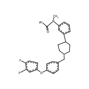 CC(C)C(=O)N(C)c1cccc(C2CCN(Cc3ccc(Oc4ccc(F)c(F)c4)cc3)CC2)c1